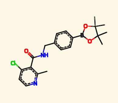 Cc1nccc(Cl)c1C(=O)NCc1ccc(B2OC(C)(C)C(C)(C)O2)cc1